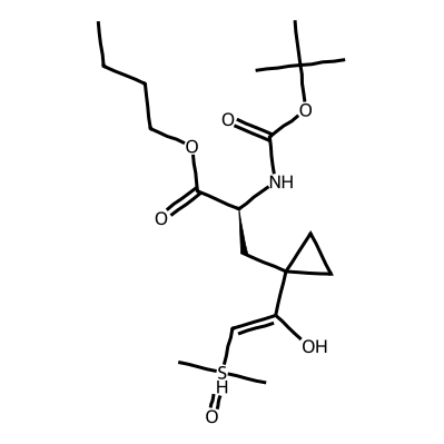 CCCCOC(=O)[C@H](CC1(/C(O)=C/[SH](C)(C)=O)CC1)NC(=O)OC(C)(C)C